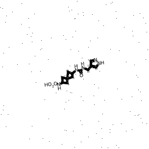 O=C(O)NC1CC2(C1)CC(NC(=O)NCc1cn[nH]c1)C2